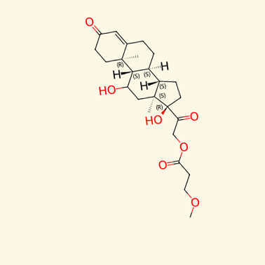 COCCC(=O)OCC(=O)[C@@]1(O)CC[C@H]2[C@@H]3CCC4=CC(=O)CC[C@]4(C)[C@H]3C(O)C[C@@]21C